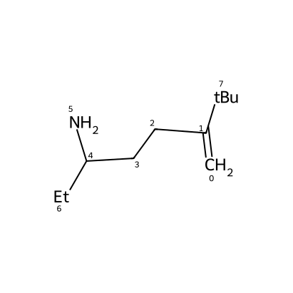 C=C(CCC(N)CC)C(C)(C)C